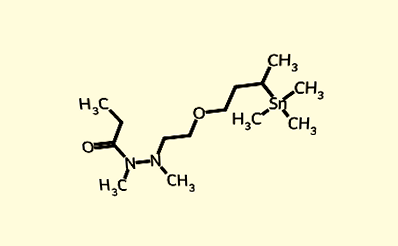 CCC(=O)N(C)N(C)CCOCC[CH](C)[Sn]([CH3])([CH3])[CH3]